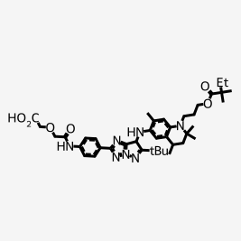 CCC(C)(C)C(=O)OCCCN1c2cc(C)c(NC3C(C(C)(C)C)=Nn4nc(-c5ccc(NC(=O)COCC(=O)O)cc5)nc43)cc2C(C)CC1(C)C